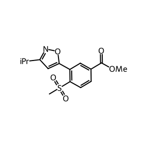 COC(=O)c1ccc(S(C)(=O)=O)c(-c2cc(C(C)C)no2)c1